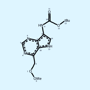 COOCc1ncnc2c(NC(=O)OC(C)(C)C)c[nH]c12